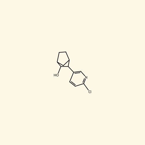 OC1C2CCC(C2)C1c1ccc(Cl)nc1